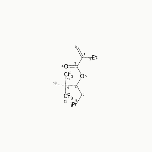 C=C(CC)C(=O)OC(CC(C)C)C(C)(C(F)(F)F)C(F)(F)F